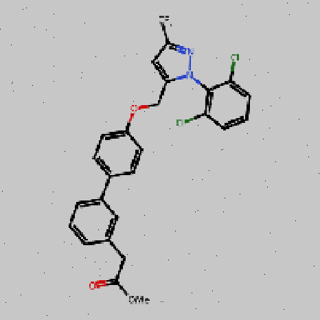 COC(=O)Cc1cccc(-c2ccc(OCc3cc(C(F)(F)F)nn3-c3c(Cl)cccc3Cl)cc2)c1